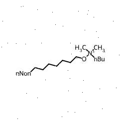 CCCCCCCCCCCCCCCCO[N+](C)(C)CCCC